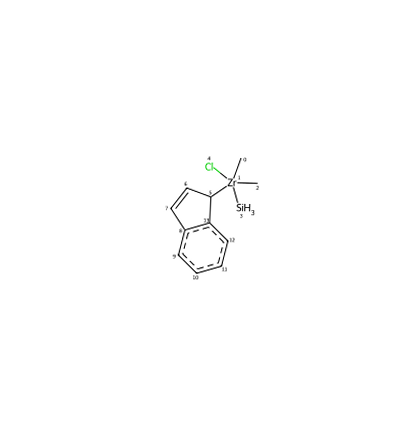 [CH3][Zr]([CH3])([SiH3])([Cl])[CH]1C=Cc2ccccc21